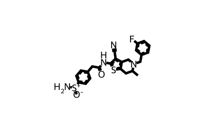 CC1Cc2sc(NC(=O)Cc3ccc([S+](N)[O-])cc3)c(C#N)c2CN1Cc1cccc(F)c1